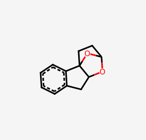 c1ccc2c(c1)CC1OC3CCC21O3